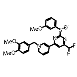 COc1cccc([S+]([O-])c2nc(C3=CN(Cc4ccc(OC)c(OC)c4)CC=C3)cc(C(F)F)n2)c1